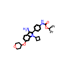 CC(C)C(OC(=O)Nc1ccc(-c2c(N)c3ccc(OC4CCOCC4)cc3n2C2CCC2)cc1)C(C)C